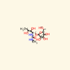 CC[C@@H](O)[C@@H](O)[C@H](CO[C@H]1OC(CO)[C@H](O)[C@H](O)C1O)NC(=O)NC